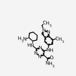 CCn1cc2cc(Nc3nc(N[C@@H]4CCCC[C@@H]4N)nnc3C(N)=O)cc(C)c2n1